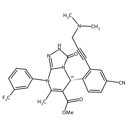 COC(=O)C1=C(C)N(c2cccc(C(F)(F)F)c2)c2n[nH]c(=O)n2[C@@H]1c1ccc(C#N)cc1C#CCN(C)C